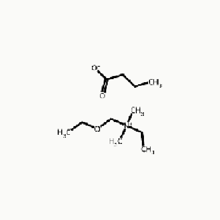 CCCC(=O)[O-].CCOC[N+](C)(C)CC